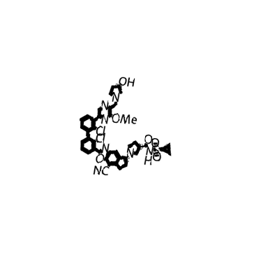 COc1nc(-c2cccc(-c3cccc(-c4nc5cc6c(c(C#N)c5o4)CC[C@H]6N4CC[C@@H](C(=O)NS(=O)(=O)C5CC5)C4)c3Cl)c2Cl)cnc1CN1CC[C@@H](O)C1